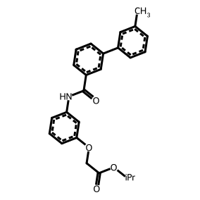 Cc1cccc(-c2cccc(C(=O)Nc3cccc(OCC(=O)OC(C)C)c3)c2)c1